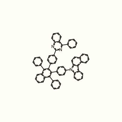 c1ccc(-c2nc(-c3ccc(-c4c(-c5ccc(-n6c7ccccc7c7c8ccccc8ccc76)cc5)c(-c5ccccc5)c5ccccc5c4-c4ccccc4)cc3)nc3ccccc23)cc1